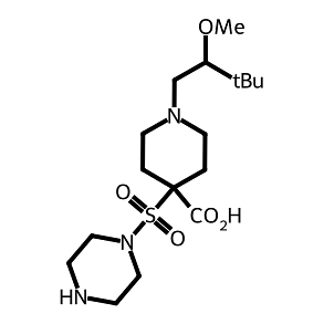 COC(CN1CCC(C(=O)O)(S(=O)(=O)N2CCNCC2)CC1)C(C)(C)C